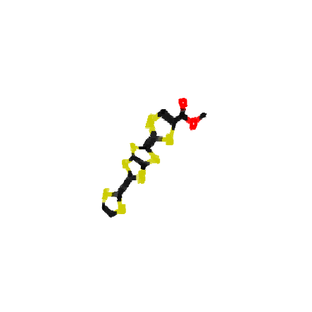 COC(=O)C1=CSC(=C2SC3=C(SC(=C4SC=CS4)S3)S2)S1